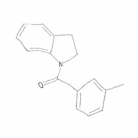 Cc1cccc(C(=O)N2CCc3ccccc32)c1